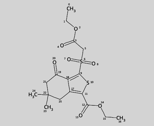 CCOC(=O)CS(=O)(=O)c1sc(C(=O)OCC)c2c1C(=O)CC(C)(C)C2